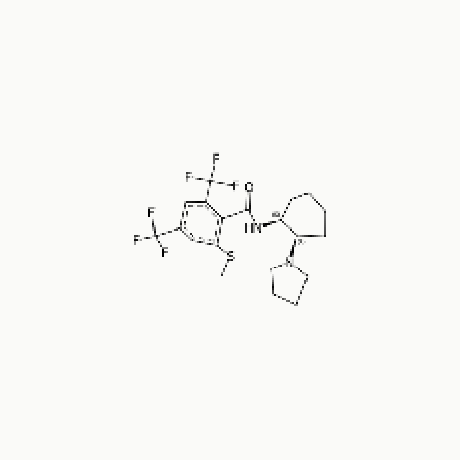 CSc1cc(C(F)(F)F)cc(C(F)(F)F)c1C(=O)N[C@H]1CCCC[C@H]1N1CCCC1